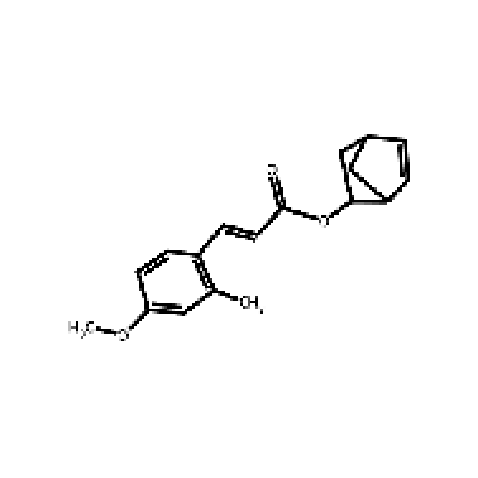 COc1ccc(/C=C/C(=O)OC2CC3C=CC2C3)c(C)c1